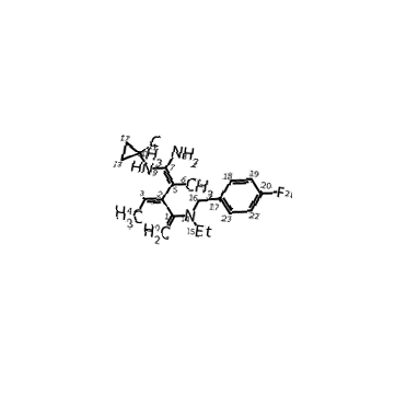 C=C(C(=C\C)/C(C)=C(/N)NC1(C)CC1)N(CC)Cc1ccc(F)cc1